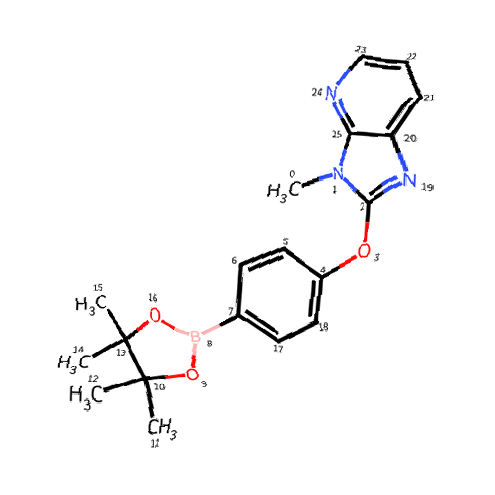 Cn1c(Oc2ccc(B3OC(C)(C)C(C)(C)O3)cc2)nc2cccnc21